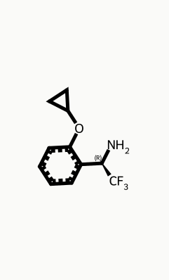 N[C@H](c1ccccc1OC1CC1)C(F)(F)F